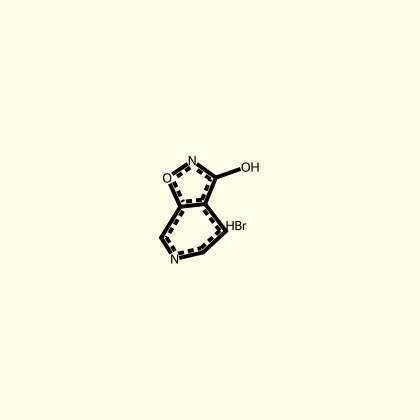 Br.Oc1noc2cnccc12